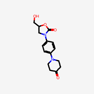 O=C1CCN(c2ccc(N3CC(CO)OC3=O)cc2)CC1